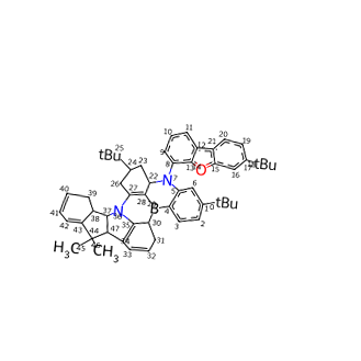 CC(C)(C)c1ccc2c(c1)N(c1cccc3c1oc1cc(C(C)(C)C)ccc13)C1CC(C(C)(C)C)CC3=C1B2C1CC=CC2=C1N3C1C3CC=CC=C3C(C)(C)C21